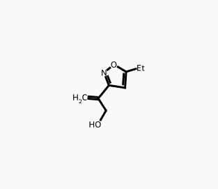 C=C(CO)c1cc(CC)on1